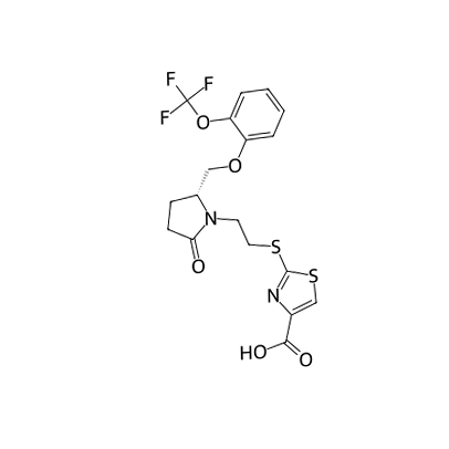 O=C(O)c1csc(SCCN2C(=O)CC[C@@H]2COc2ccccc2OC(F)(F)F)n1